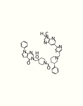 Cn1cnc2cc(-c3ncc(CN4CC[C@@H](C(=O)N5CCC(O)(Cn6cnc7c(ccn7-c7ccccc7)c6=O)CC5)[C@H](c5ccccc5)C4)s3)cnc21